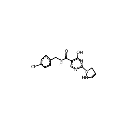 O=C(NCc1ccc(Cl)cc1)c1cnc(N2CC=CN2)nc1O